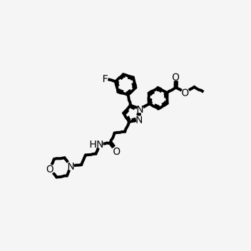 CCOC(=O)c1ccc(-n2nc(CCC(=O)NCCCN3CCOCC3)cc2-c2cccc(F)c2)cc1